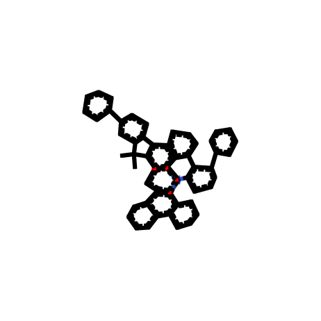 CC1(C)c2cc(-c3ccccc3)ccc2-c2ccc(N(c3cccc(-c4ccccc4)c3-c3ccccc3-c3ccccc3)c3cc4ccccc4c4ccccc34)cc21